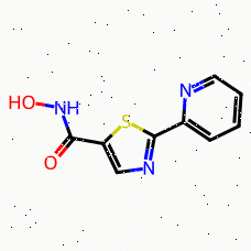 O=C(NO)c1cnc(-c2ccccn2)s1